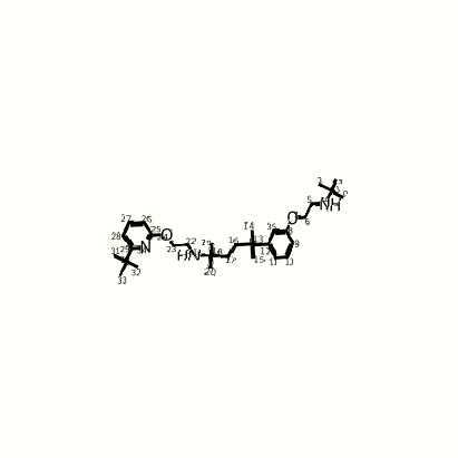 CC(C)(C)NCCOc1cccc(C(C)(C)CCC(C)(C)NCCOc2cccc(C(C)(C)C)n2)c1